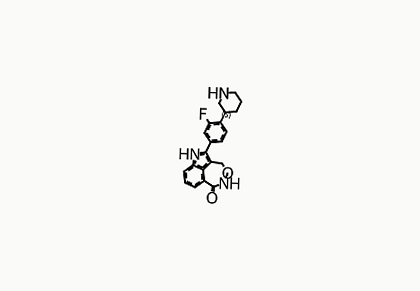 O=C1NOCc2c(-c3ccc([C@@H]4CCCNC4)c(F)c3)[nH]c3cccc1c23